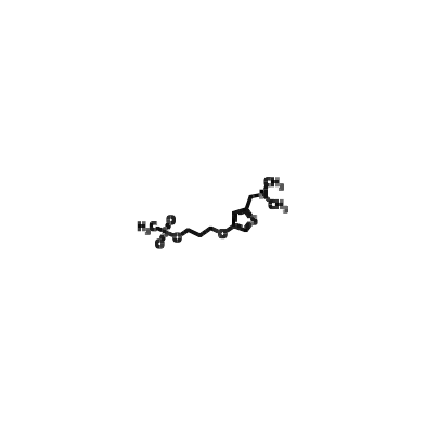 CN(C)Cc1cc(OCCCOS(C)(=O)=O)cs1